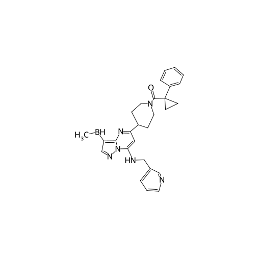 CBc1cnn2c(NCc3cccnc3)cc(C3CCN(C(=O)C4(c5ccccc5)CC4)CC3)nc12